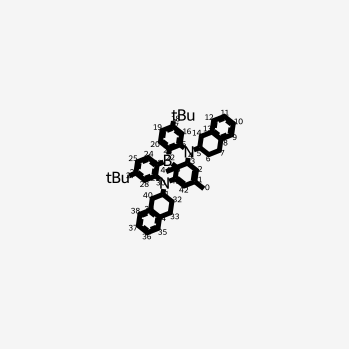 CC1=CC2N(C3CCc4ccccc4C3)c3cc(C(C)(C)C)ccc3B3c4ccc(C(C)(C)C)cc4N(C4CCc5ccccc5C4)C(=C1)C32C